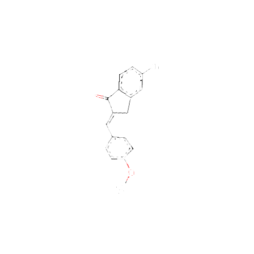 COc1ccc(/C=C2\Cc3cc(C)ccc3C2=O)cc1